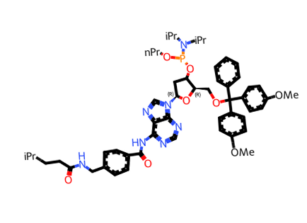 CCCOP(OC1C[C@H](n2cnc3c(NC(=O)c4ccc(CNC(=O)CCC(C)C)cc4)ncnc32)O[C@@H]1COC(c1ccccc1)(c1ccc(OC)cc1)c1ccc(OC)cc1)N(C(C)C)C(C)C